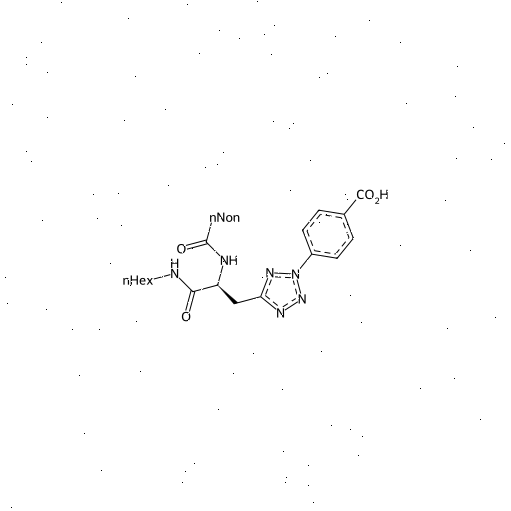 CCCCCCCCCC(=O)N[C@@H](Cc1nnn(-c2ccc(C(=O)O)cc2)n1)C(=O)NCCCCCC